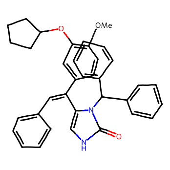 COc1ccc(C(=Cc2ccccc2)c2c[nH]c(=O)n2C(c2ccccc2)c2ccccc2)cc1OC1CCCC1